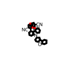 N#Cc1cccc(C#N)c1-c1cccc2c1c1c(-c3c(C#N)cccc3C#N)cccc1n2-c1ccc2oc3ccccc3c2c1